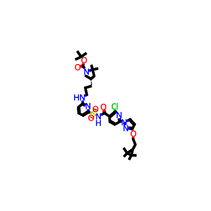 CC(C)(C)OC(=O)N1C[C@@H](CCCNc2cccc(S(=O)(=O)NC(=O)c3ccc(-n4ccc(OCCC5C(C)(C)C5(C)C)n4)nc3Cl)n2)CC1(C)C